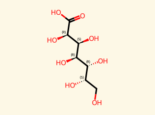 O=C(O)[C@H](O)[C@@H](O)[C@H](O)[C@H](O)[C@@H](O)CO